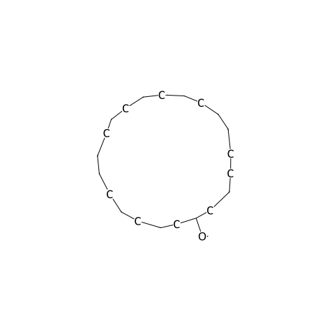 [O]C1CCCCCCCCCCCCCCCCCCCC1